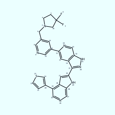 FC1(F)CCN(Cc2cncc(-c3cc4c(-c5cc6c(-c7ccsc7)cncc6[nH]5)n[nH]c4cn3)c2)C1